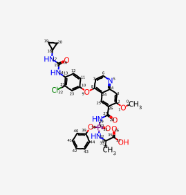 COc1cc2nccc(Oc3ccc(NC(=O)NC4CC4)c(Cl)c3)c2cc1C(=O)NP(=O)(N[C@H](C)C(=O)O)Oc1ccccc1